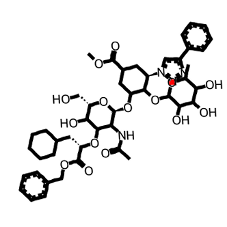 COC(=O)C1CC(O[C@@H]2O[C@@H](CO)C(O)C(O[C@@H](CC3CCCCC3)C(=O)OCc3ccccc3)C2NC(C)=O)C(OC2OC(C)C(O)C(O)C2O)[C@H](n2cc(-c3ccccc3)nn2)C1